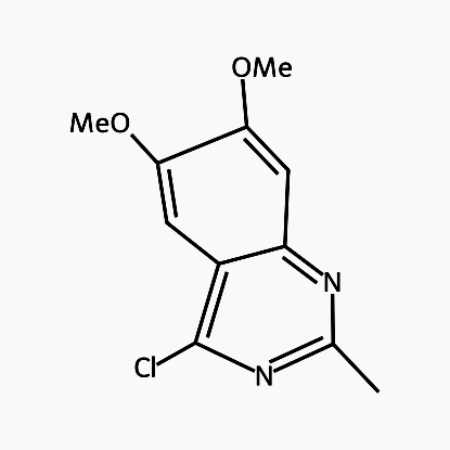 COc1cc2nc(C)nc(Cl)c2cc1OC